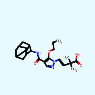 CCCOc1c(C(=O)NC2C3CC4CC(C3)CC2C4)cnn1/C=C/C(C)(C)C(=O)O